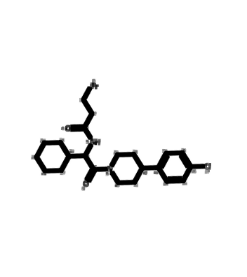 CC(C)CCC(=O)NC(C(=O)N1CCC(c2ccc(Cl)cc2)CC1)C1CCCCC1